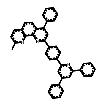 Cc1ccc2ccc3c(-c4ccccc4)cc(-c4ccc(-c5cc(-c6ccccc6)cc(-c6ccccc6)n5)cc4)nc3c2n1